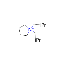 CC(C)C[N+]1(CC(C)C)CCCC1